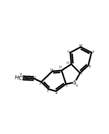 C#Cc1ccc2sc3ccccc3c2c1